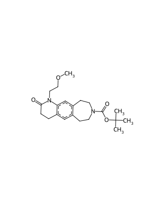 COCCN1C(=O)CCc2cc3c(cc21)CCN(C(=O)OC(C)(C)C)CC3